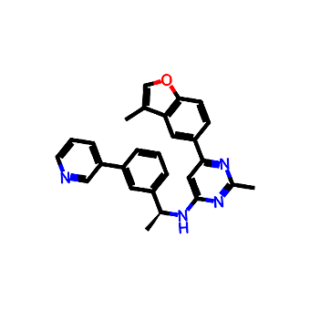 Cc1nc(N[C@@H](C)c2cccc(-c3cccnc3)c2)cc(-c2ccc3occ(C)c3c2)n1